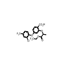 CC(Oc1cc(Oc2ccc(C(F)(F)F)cc2Cl)ccc1C(=O)O)C(=O)OCC(F)(F)F